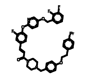 CC(C)c1ccc(CCOc2ccc(CN3CCN(C(=O)C=Cc4ccc(Oc5ccc(OCc6cccc(F)c6F)cn5)c(F)c4)CC3)cc2)cc1